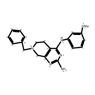 COc1cccc(Nc2nc(N)nc3c2CCN(Cc2ccccc2)C3)c1